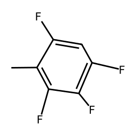 Cc1c(F)cc(F)c(F)c1F